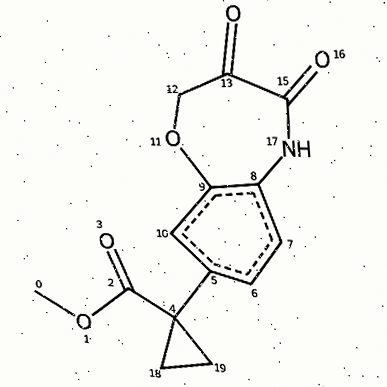 COC(=O)C1(c2ccc3c(c2)OCC(=O)C(=O)N3)CC1